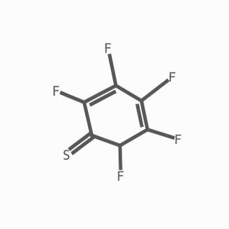 FC1=C(F)C(F)=C(F)C(F)C1=S